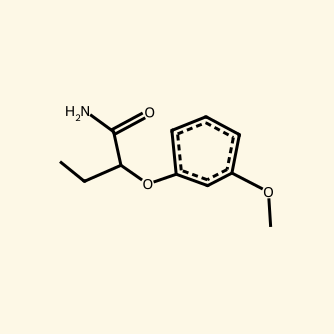 CCC(Oc1cccc(OC)c1)C(N)=O